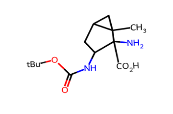 CC(C)(C)OC(=O)NC1CC2CC2(C)C1(N)C(=O)O